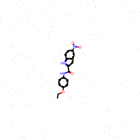 CCOc1ccc(NC(=O)c2cc3cc([N+](=O)[O-])ccc3[nH]2)cc1